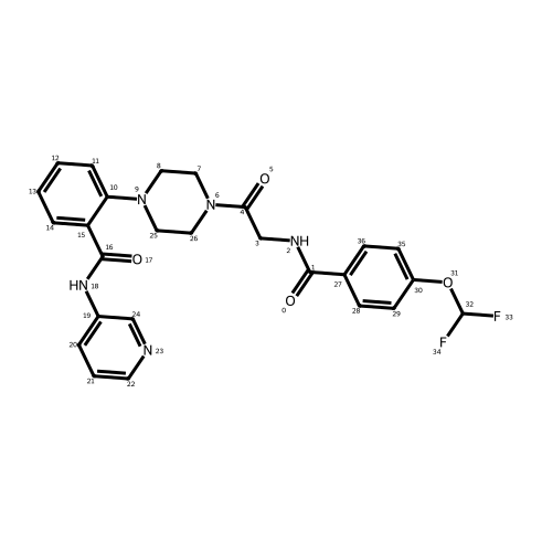 O=C(NCC(=O)N1CCN(c2ccccc2C(=O)Nc2cccnc2)CC1)c1ccc(OC(F)F)cc1